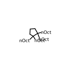 CCCCCCCCC1(CCCCCCCC)CCCC1(CCCCCCCC)CCCCCCCC